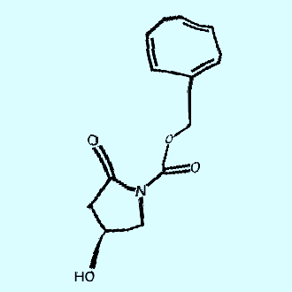 O=C1C[C@H](O)CN1C(=O)OCc1ccccc1